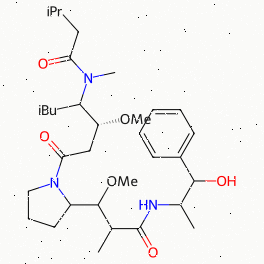 CCC(C)C([C@@H](CC(=O)N1CCCC1C(OC)C(C)C(=O)NC(C)C(O)c1ccccc1)OC)N(C)C(=O)CC(C)C